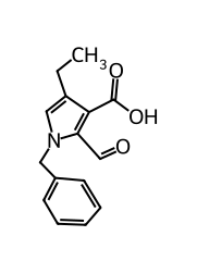 CCc1cn(Cc2ccccc2)c(C=O)c1C(=O)O